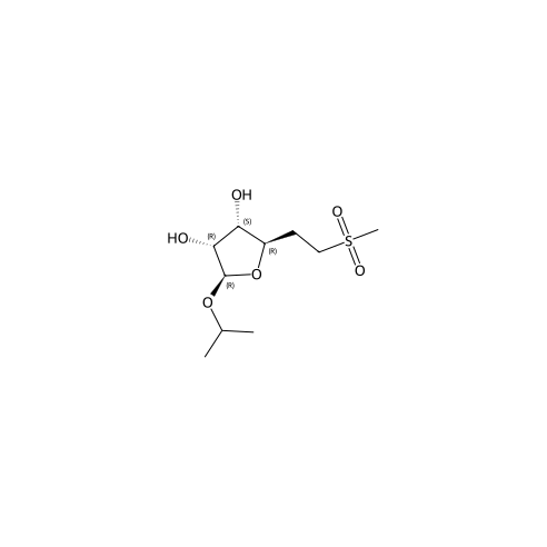 CC(C)O[C@@H]1O[C@H](CCS(C)(=O)=O)[C@@H](O)[C@H]1O